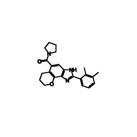 Cc1cccc(-c2nc3c4c(c(C(=O)N5CCCC5)cc3[nH]2)CCCO4)c1C